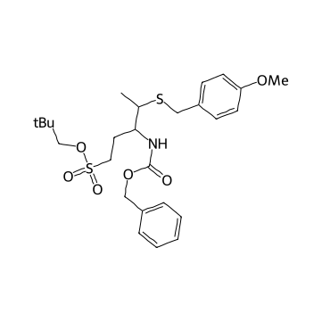 COc1ccc(CSC(C)C(CCS(=O)(=O)OCC(C)(C)C)NC(=O)OCc2ccccc2)cc1